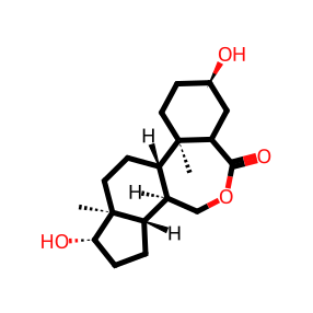 C[C@]12CC[C@H]3[C@@H](COC(=O)C4C[C@H](O)CC[C@@]43C)[C@@H]1CC[C@@H]2O